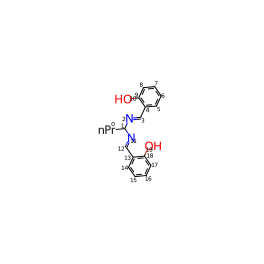 CCCC(N=Cc1ccccc1O)N=Cc1ccccc1O